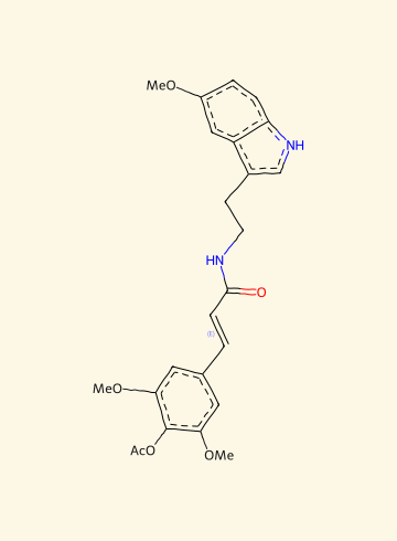 COc1ccc2[nH]cc(CCNC(=O)/C=C/c3cc(OC)c(OC(C)=O)c(OC)c3)c2c1